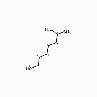 CC(C)CCCSCO